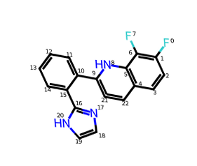 Fc1ccc2c(c1F)NC(c1ccccc1-c1ncc[nH]1)=C=C2